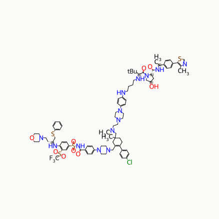 Cc1ncsc1-c1ccc([C@H](C)NC(=O)[C@@H]2C[C@@H](O)CN2C(=O)[C@@H](NCCCCNc2ccc(N3CCN(CCN(C)CC4(C)CCC(c5ccc(Cl)cc5)=C(CN5CCN(c6ccc(C(=O)NS(=O)(=O)c7ccc(N[C@H](CCN8CCOCC8)CSc8ccccc8)c(S(=O)(=O)C(F)(F)F)c7)cc6)CC5)C4)CC3)cc2)C(C)(C)C)cc1